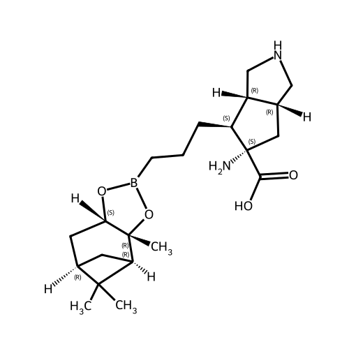 CC1(C)[C@H]2C[C@@H]3OB(CCC[C@H]4[C@@H]5CNC[C@@H]5C[C@@]4(N)C(=O)O)O[C@]3(C)[C@@H]1C2